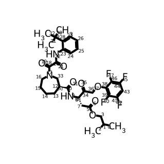 CC(C)COC(=O)C[C@H](NC(=O)[C@H]1CCCCN(C(=O)C(=O)Nc2ccccc2C(C)(C)C)C1)C(=O)COc1c(F)c(F)cc(F)c1F